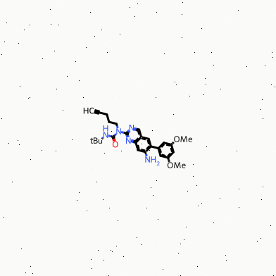 C#CCCCN(C(=O)NC(C)(C)C)c1ncc2cc(-c3cc(OC)cc(OC)c3)c(N)cc2n1